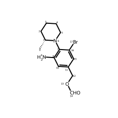 C[C@@H]1CCCCN1c1c(N)cc(COC=O)cc1Br